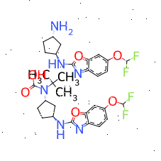 CC(C)(C)N(C(=O)O)[C@H]1CC[C@H](Nc2nc3ccc(OC(F)F)cc3o2)C1.N[C@H]1CC[C@H](Nc2nc3ccc(OC(F)F)cc3o2)C1